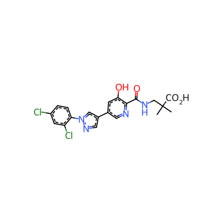 CC(C)(CNC(=O)c1ncc(-c2cnn(-c3ccc(Cl)cc3Cl)c2)cc1O)C(=O)O